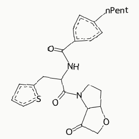 CCCCCc1ccc(C(=O)NC(Cc2cccs2)C(=O)N2CCC3OCC(=O)C32)cc1